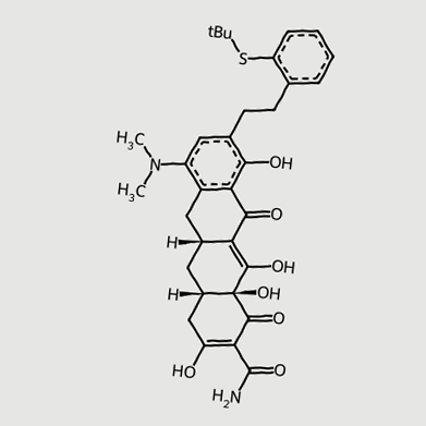 CN(C)c1cc(CCc2ccccc2SC(C)(C)C)c(O)c2c1C[C@H]1C[C@H]3CC(O)=C(C(N)=O)C(=O)[C@@]3(O)C(O)=C1C2=O